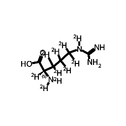 [2H]N(C(=N)N)C([2H])([2H])C([2H])([2H])C([2H])([2H])[C@@]([2H])(C(=O)O)N([2H])[2H]